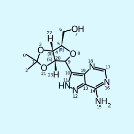 CC1(C)O[C@@H]2[C@@H](CO)OC(c3[nH]nc4c(N)ncnc34)[C@@H]2O1